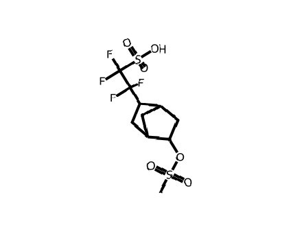 CS(=O)(=O)OC1CC2CC1CC2C(F)(F)C(F)(F)S(=O)(=O)O